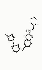 Cn1cc(-c2nccc(Oc3ccc4nc(NCC5CCCCC5)sc4c3)n2)cn1